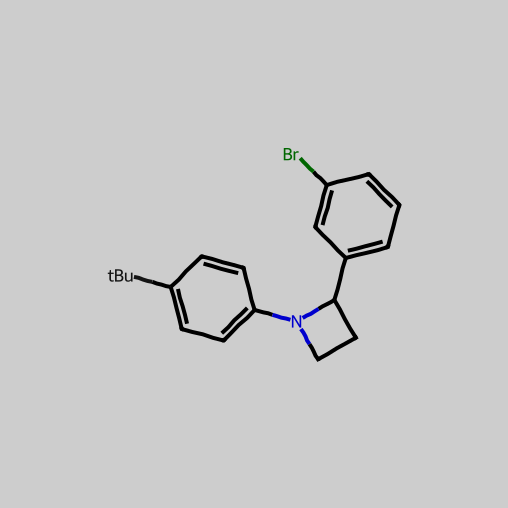 CC(C)(C)c1ccc(N2CCC2c2cccc(Br)c2)cc1